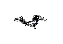 COC(=O)CC/C(C)=C/Cc1c(OC)c(C)c2c(c1OC(=O)CCCCCCCC(C)C(=O)OC(COC(C)=O)COC(C)=O)C(=O)OC2